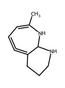 CC1=CC=C=C2CCCNC2N1